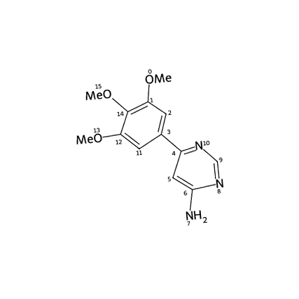 COc1cc(-c2cc(N)ncn2)cc(OC)c1OC